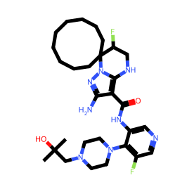 CC(C)(O)CN1CCN(c2c(F)cncc2NC(=O)c2c(N)nn3c2NCC(F)C32CCCCCCCCC2)CC1